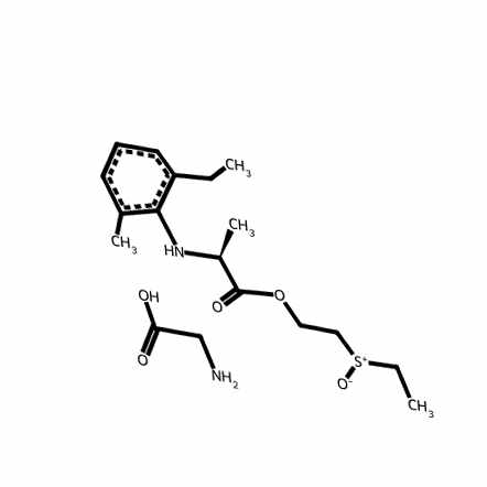 CCc1cccc(C)c1N[C@@H](C)C(=O)OCC[S+]([O-])CC.NCC(=O)O